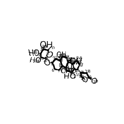 C[C@H]1O[C@@H](O[C@H]2CC[C@]3(C=O)[C@H]4C[C@@H](O)[C@]5(C)[C@@H](C6=CC(=O)OC6)CC[C@]5(O)[C@@H]4CC[C@]3(O)C2)[C@H](O)[C@H](O)[C@H]1O